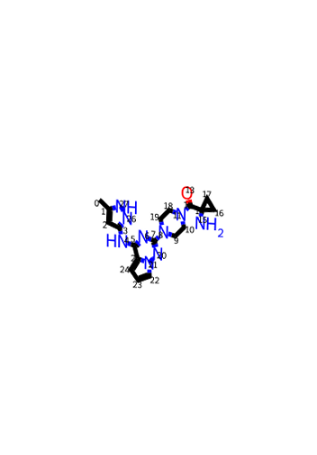 Cc1cc(Nc2nc(N3CCN(C(=O)C4(N)CC4)CC3)nn3cccc23)n[nH]1